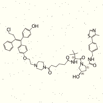 Cc1ncsc1-c1ccc(CNC(=O)[C@@H]2C[C@@H](O)CN2C(=O)[C@@H](NC(=O)CCCCC(=O)N2CCN(CCOc3ccc(C(=C(CCCl)c4ccccc4)c4ccc(O)cc4)cc3)CC2)C(C)(C)C)cc1